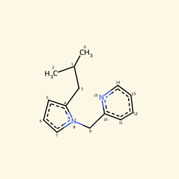 CC(C)Cc1cccn1Cc1ccccn1